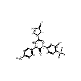 COc1ccc([C@H](NC(=O)C2CNC(=O)C2)C(=O)Nc2ccc([Si](C)(C)C)c(F)c2)cc1